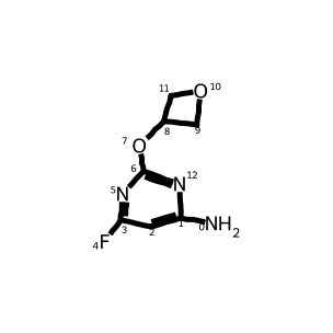 Nc1cc(F)nc(OC2COC2)n1